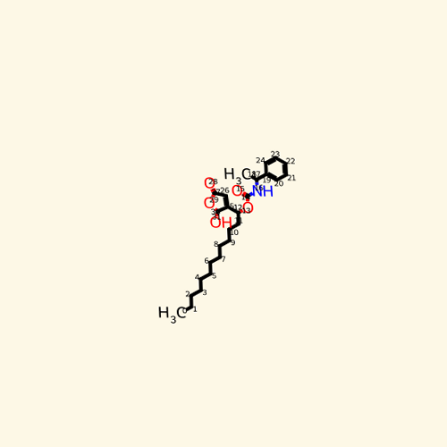 CCCCCCCCCCCCC(OC(=O)NC(C)c1ccccc1)C1=CC(=O)OC1O